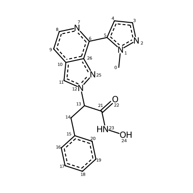 Cn1nccc1-c1nccc2cn(C(Cc3ccccc3)C(=O)NO)nc12